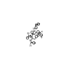 COC1[C@@H](OP(C)(=O)OC)[C@@H](COP=O)O[C@H]1N(CCC(C)=O)C(C)=O